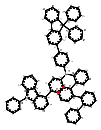 c1ccc(-c2ccccc2-c2ccccc2-c2ccccc2N(c2ccc(-c3ccc4c(c3)C(c3ccccc3)(c3ccccc3)c3ccccc3-4)cc2)c2ccc(-c3cccc4c3c3ccccc3n4-c3ccccc3)cc2)cc1